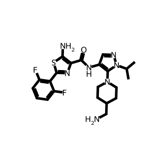 CC(C)n1ncc(NC(=O)c2nc(-c3c(F)cccc3F)sc2N)c1N1CCC(CN)CC1